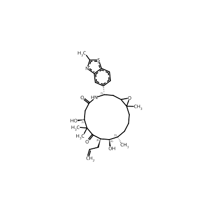 C=CC[C@H]1C(=O)C(C)(C)[C@@H](O)CC(=O)N[C@H](c2ccc3sc(C)nc3c2)CC2OC2(C)CCC[C@H](C)[C@H]1O